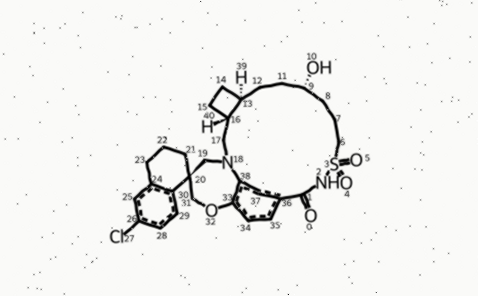 O=C1NS(=O)(=O)CCC[C@@H](O)CC[C@@H]2CC[C@H]2CN2C[C@@]3(CCCc4cc(Cl)ccc43)COc3ccc1cc32